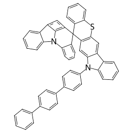 c1ccc(-c2ccc(-c3ccc(-n4c5ccccc5c5cc6c(cc54)C4(c5ccccc5S6)c5ccccc5-n5c6ccccc6c6cccc4c65)cc3)cc2)cc1